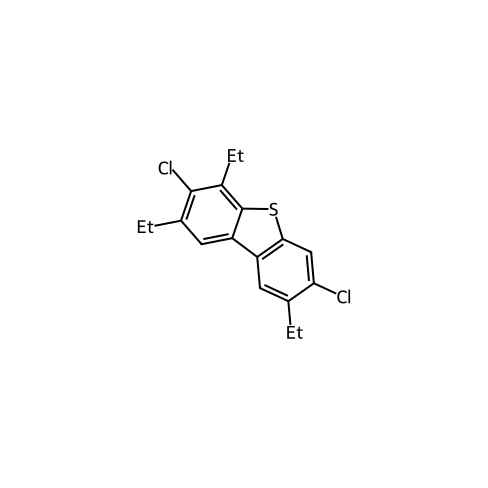 CCc1cc2c(cc1Cl)sc1c(CC)c(Cl)c(CC)cc12